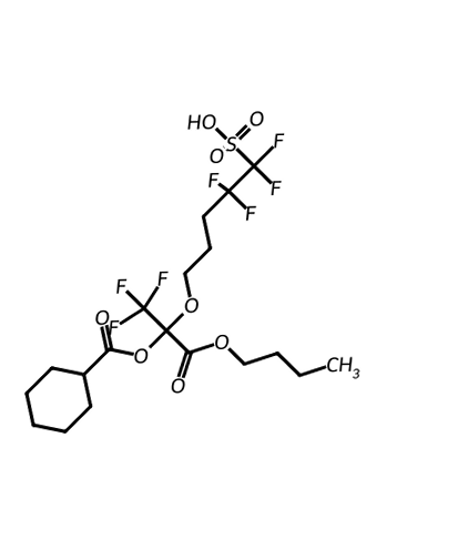 CCCCOC(=O)C(OCCCC(F)(F)C(F)(F)S(=O)(=O)O)(OC(=O)C1CCCCC1)C(F)(F)F